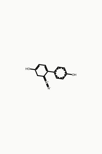 [N-]=[N+]=C1CC(O)=CC=C1c1ccc(O)cc1